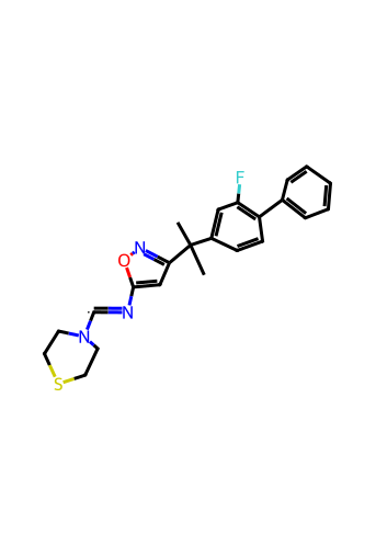 CC(C)(c1ccc(-c2ccccc2)c(F)c1)c1cc(N=[C]N2CCSCC2)on1